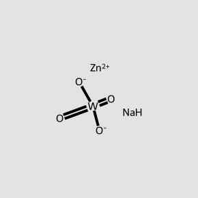 [NaH].[O]=[W](=[O])([O-])[O-].[Zn+2]